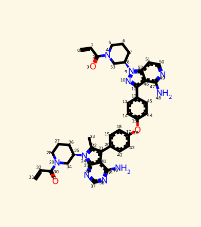 C=CC(=O)N1CCC[C@@H](n2nc(-c3ccc(Oc4ccc(-c5c(C)n([C@@H]6CCCN(C(=O)C=C)C6)c6ncnc(N)c56)cc4)cc3)c3c(N)nccc32)C1